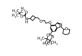 CC(C)(C)OC(=O)NC1CC(COCCOc2cc(B3OC(C)(C)C(C)(C)O3)cc3c2cnn3C2CCCCO2)C1